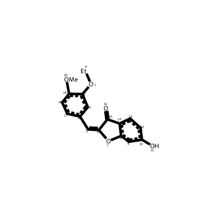 CCOc1cc(C=C2Oc3cc(O)ccc3C2=O)ccc1OC